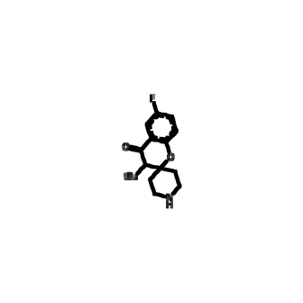 CC(C)(C)C1C(=O)c2cc(F)ccc2OC12CCNCC2